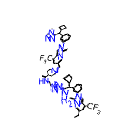 C=CC1=CN2C(=C)N(c3cccc(C(/C(N)=N/N=C\CNC(=C)C4CCN(CC5=CN6C(=C)N(c7cccc(C(c8nncn8C)C8CCC8)c7)C=C6C(C(F)(F)F)=C5)CC4)C4CCC4)c3)C=C2C(C(F)(F)F)=C1